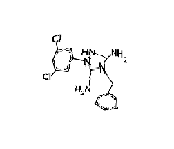 NC1NN(c2cc(Cl)cc(Cl)c2)C(N)N1Cc1ccccc1